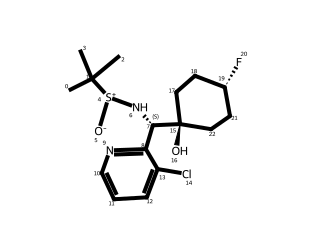 CC(C)(C)[S+]([O-])N[C@@H](c1ncccc1Cl)[C@]1(O)CC[C@H](F)CC1